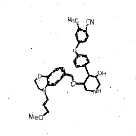 COCCCN1CCOc2ccc(COC3CNCC(O)C3c3ccc(Oc4ccc(C#N)c(OC)c4)cc3)cc21